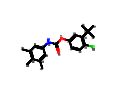 Cc1cc(NC(=O)Oc2ccc(Cl)c(C(C)(C)C)c2)cc(C)c1C